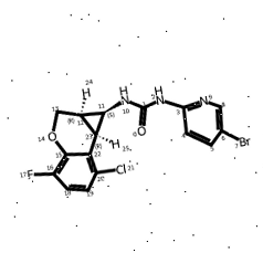 O=C(Nc1ccc(Br)cn1)N[C@@H]1[C@@H]2COc3c(F)ccc(Cl)c3[C@@H]21